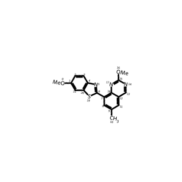 COc1ccc2nc(-c3cc(C)cc4cnc(OC)nc34)sc2c1